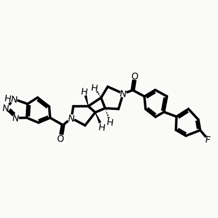 O=C(c1ccc(-c2ccc(F)cc2)cc1)N1C[C@@H]2[C@H](C1)[C@H]1CN(C(=O)c3ccc4[nH]nnc4c3)C[C@@H]21